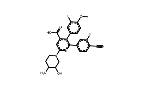 COc1ccc(-c2c(C(=O)O)cc(N3CCC(N)C(O)C3)nc2-c2ccc(C#N)c(F)c2)cc1F